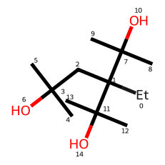 CCC(CC(C)(C)O)(C(C)(C)O)C(C)(C)O